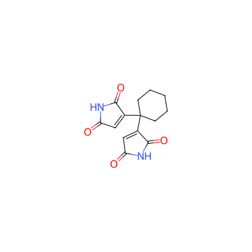 O=C1C=C(C2(C3=CC(=O)NC3=O)CCCCC2)C(=O)N1